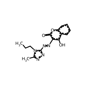 CCCn1c(C)nnc1N=Nc1c(O)c2ccccc2oc1=O